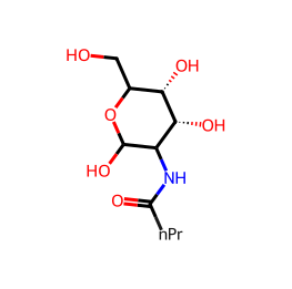 CCCC(=O)NC1C(O)OC(CO)[C@H](O)[C@@H]1O